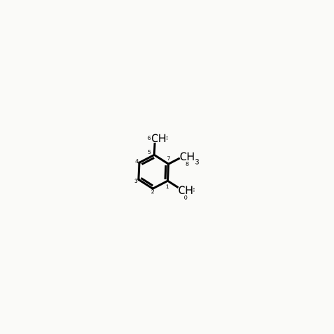 [CH]c1cccc([CH])c1C